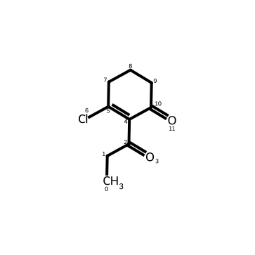 CCC(=O)C1=C(Cl)CCCC1=O